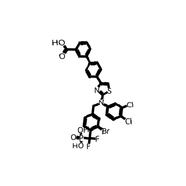 O=C(O)c1cccc(-c2ccc(-c3csc(N(Cc4ccc(C(F)(F)P(=O)(O)O)c(Br)c4)c4ccc(Cl)c(Cl)c4)n3)cc2)c1